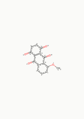 COc1cccc2c(=O)c3c(=O)ccc(=O)c=3c(=O)c12